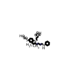 CC1(C)C(/C=C/C=C/Nc2ccccc2)=[N+](CCCS(=O)(=O)O)c2ccc(SOOO)cc21